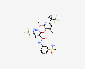 COc1nc(C2(C(F)(F)F)CC2)cc(C)c1Oc1nnc(C(F)(F)F)c(C)c1C(=O)Nc1cccc(S(C)(=N)=O)c1